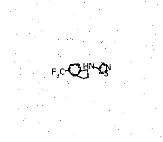 FC(F)(F)c1ccc2c(c1)CC[C@H]2Nc1cnsc1